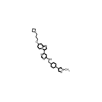 Cn1cc(-c2ccc(CNc3cc(-c4cnc5cc(OCCCN6CCC6)ccn45)ncn3)cc2)cn1